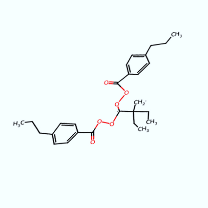 [CH2]C(CC)(CC)[C](OOC(=O)c1ccc(CCC)cc1)OOC(=O)c1ccc(CCC)cc1